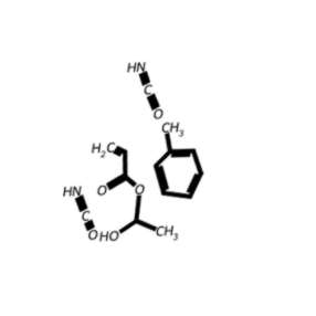 C=CC(=O)OC(C)O.Cc1ccccc1.N=C=O.N=C=O